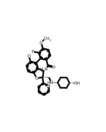 COc1ccc(C(N)=O)c(-c2c(Cl)ccc3c2C[C@@](CN[C@H]2CC[C@@H](O)CC2)(c2ccccn2)O3)c1F